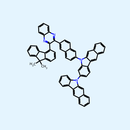 CC1(C)c2ccccc2-c2c(-c3nc4ccccc4nc3-c3ccc4cc(-n5c6cc(-n7c8ccccc8c8cc9ccccc9cc87)ccc6c6cc7ccccc7cc65)ccc4c3)cccc21